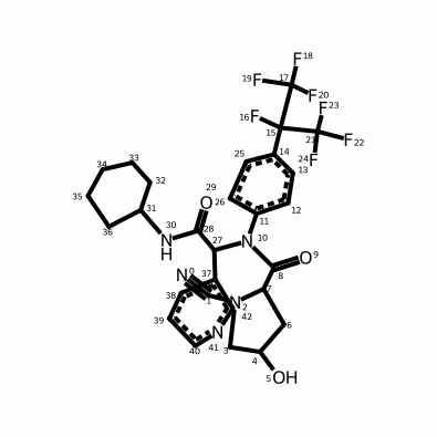 N#CN1CC(O)CC1C(=O)N(c1ccc(C(F)(C(F)(F)F)C(F)(F)F)cc1)C(C(=O)NC1CCCCC1)c1cccnc1